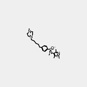 Cc1nn(C)c(C)c1N(C)[S+]([O-])c1ccc(CCCCCN2CCN(C)CC2)cc1